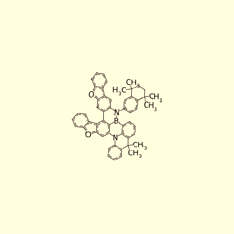 CC1(C)CCC(C)(C)c2cc(N3B4c5cccc6c5N(c5ccccc5C6(C)C)c5cc6oc7ccccc7c6c(c54)-c4cc5oc6ccccc6c5cc43)ccc21